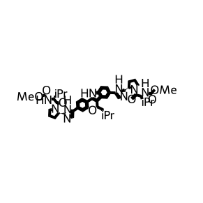 COC(=O)NC(C(=O)N1CCC[C@H]1c1ncc(-c2ccc3[nH]c4c(c3c2)C(CC(C)C)Oc2cc(-c3cnc([C@@H]5CCCN5C(=O)[C@@H](NC(=O)OC)C(C)C)[nH]3)ccc2-4)[nH]1)C(C)C